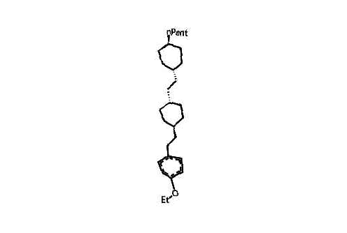 CCCCC[C@H]1CC[C@H](CC[C@H]2CC[C@H](CCc3ccc(OCC)cc3)CC2)CC1